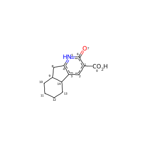 O=C(O)c1cc2c([nH]c1=O)CC1CCCCC21